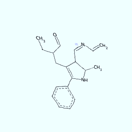 C=C/N=C\C1C(CC(C=O)CC)=C(c2ccccc2)NC1C